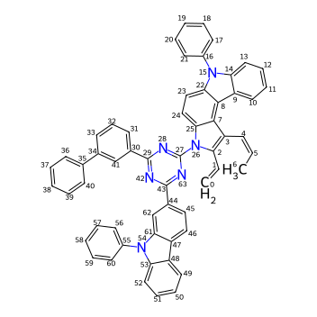 C=Cc1c(/C=C\C)c2c3c4ccccc4n(-c4ccccc4)c3ccc2n1-c1nc(-c2cccc(-c3ccccc3)c2)nc(-c2ccc3c4ccccc4n(-c4ccccc4)c3c2)n1